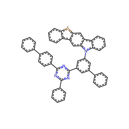 c1ccc(-c2ccc(-c3nc(-c4ccccc4)nc(-c4cc(-c5ccccc5)cc(-n5c6ccccc6c6cc7sc8ccccc8c7cc65)c4)n3)cc2)cc1